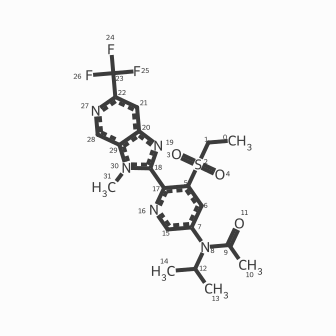 CCS(=O)(=O)c1cc(N(C(C)=O)C(C)C)cnc1-c1nc2cc(C(F)(F)F)ncc2n1C